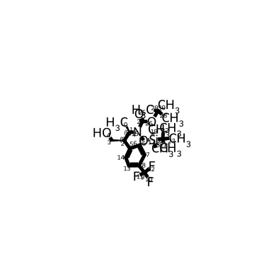 C[C@H]([C@H](CO)c1ccc(C(F)(F)F)cc1)N(O[Si](C)(C)C(C)(C)C)C(=O)OC(C)(C)C